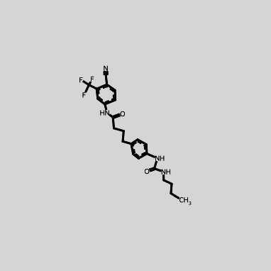 CCCCNC(=O)Nc1ccc(CCCC(=O)Nc2ccc(C#N)c(C(F)(F)F)c2)cc1